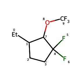 [CH2]CC1C[CH]C(F)(F)C1OC(F)(F)F